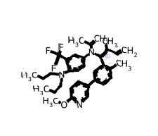 C=C/C(C)=C(\c1cc(-c2ccc(OC)nc2)ccc1C)N(C(=C)C)c1ccc(N(CCC)CCC)c(C(F)(F)F)c1